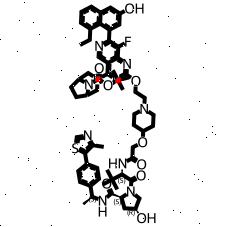 CCc1cccc2cc(O)cc(-c3ncc4c(N5CC6CCC(C5)N6C(=O)OC(C)(C)C)nc(OCCN5CCC(OCC(=O)N[C@H](C(=O)N6C[C@H](O)C[C@H]6C(=O)N[C@@H](C)c6ccc(-c7scnc7C)cc6)C(C)(C)C)CC5)nc4c3F)c12